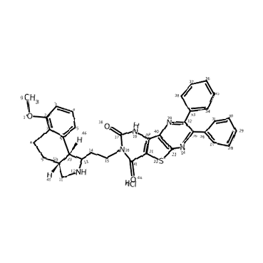 COc1cccc2c1CC[C@H]1CNC(CCn3c(=O)[nH]c4c(sc5nc(-c6ccccc6)c(-c6ccccc6)nc54)c3=O)[C@@H]21.Cl